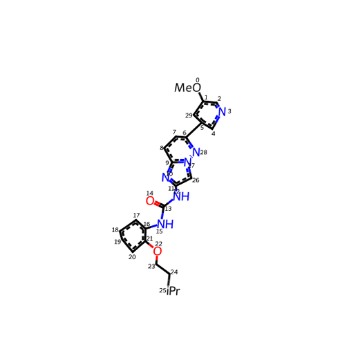 COc1cncc(-c2ccc3nc(NC(=O)Nc4ccccc4OCCC(C)C)cn3n2)c1